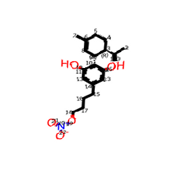 C=C(C)[C@@H]1CCC(C)=C[C@H]1c1c(O)cc(CCCCO[N+](=O)[O-])cc1O